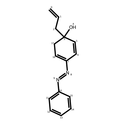 C=CCC1(O)C=CC(N=Nc2ccccc2)=CC1